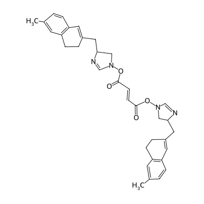 Cc1ccc2c(c1)CCC(CC1CN(OC(=O)/C=C/C(=O)ON3C=NC(CC4=Cc5ccc(C)cc5CC4)C3)C=N1)=C2